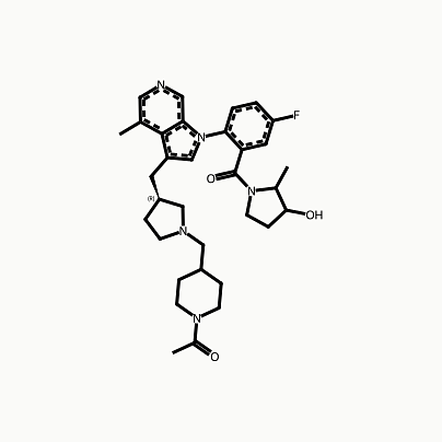 CC(=O)N1CCC(CN2CC[C@@H](Cc3cn(-c4ccc(F)cc4C(=O)N4CCC(O)C4C)c4cncc(C)c34)C2)CC1